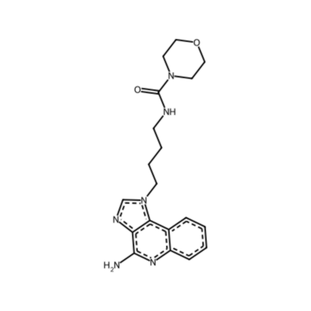 Nc1nc2ccccc2c2c1ncn2CCCCNC(=O)N1CCOCC1